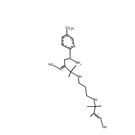 C/C(=N\O)C(C)(C)NCCCNC(C)(C)/C(CN(N)c1ccc(C(=O)O)cn1)=N/O